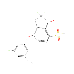 N#Cc1cc(F)cc(Oc2ccc(S(=O)(=O)C(F)(F)F)c3c2CC(F)(F)[C@H]3O)c1